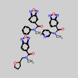 CN(C(=O)c1ccc2nonc2c1)c1ccccc1.CN(C(=O)c1ccc2nonc2c1)c1cccnc1.CN(CC1CCCO1)C(=O)c1ccc2nonc2c1